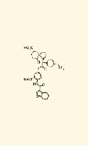 COc1cc(CC(=O)C(O[C@H]2CC[C@H](C(=O)O)CC2)(N2CCCC2)N2CCN(CC(F)(F)F)CC2)ccc1NC(=O)c1csc2ccccc12